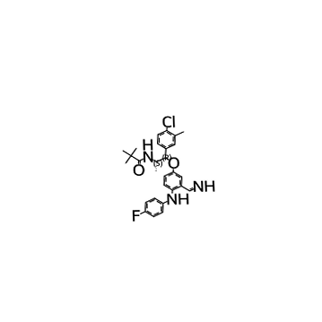 Cc1cc([C@@H](Oc2ccc(Nc3ccc(F)cc3)c(C=N)c2)[C@H](C)NC(=O)C(C)(C)C)ccc1Cl